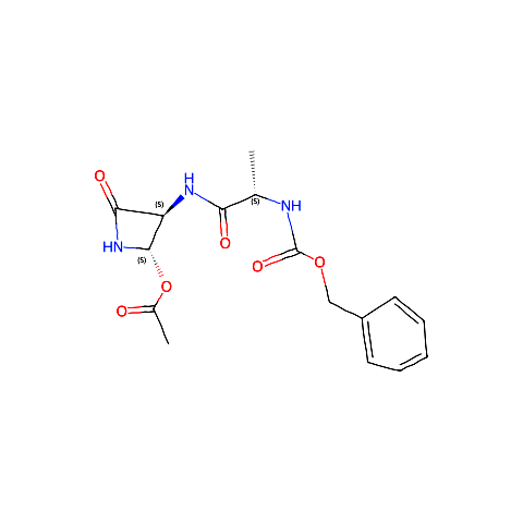 CC(=O)O[C@@H]1NC(=O)[C@H]1NC(=O)[C@H](C)NC(=O)OCc1ccccc1